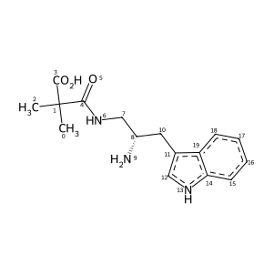 CC(C)(C(=O)O)C(=O)NC[C@@H](N)Cc1c[nH]c2ccccc12